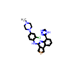 CN1CCN(c2ccc(Nc3nc4c(-c5nnc[nH]5)cccc4c4cscc34)c(Cl)c2)CC1